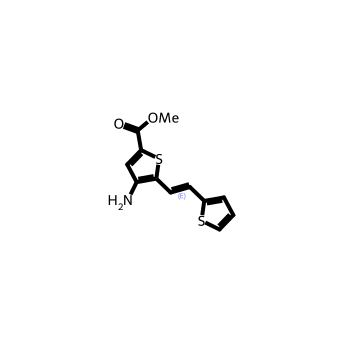 COC(=O)c1cc(N)c(/C=C/c2cccs2)s1